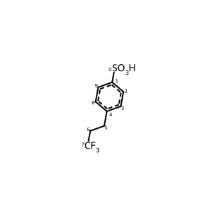 O=S(=O)(O)c1ccc(CCC(F)(F)F)cc1